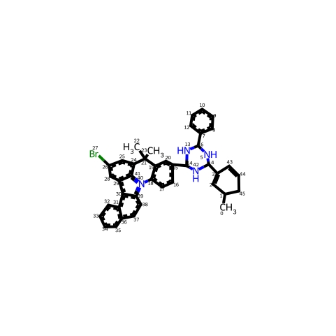 CC1C=C(C2NC(c3ccccc3)NC(c3ccc4c(c3)C(C)(C)c3cc(Br)cc5c6c7ccccc7ccc6n-4c35)N2)C=CC1